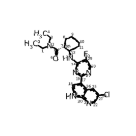 CCN(CC)C(=O)[C@@H]1CCCCC1Nc1nc(-c2c[nH]c3ncc(Cl)cc23)ncc1F